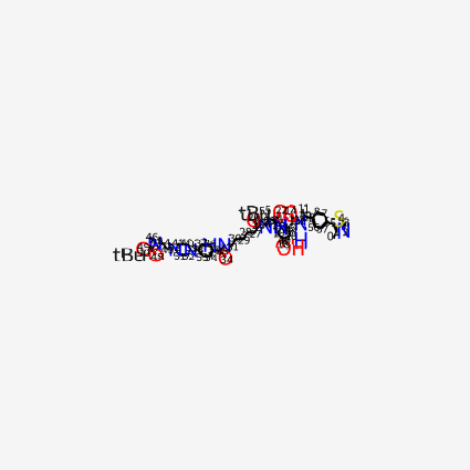 Cc1ncsc1-c1ccc([C@H](C)NC(=O)[C@@H]2C[C@@H](O)CN2C(=O)[C@@H](NC(=O)CCCCCNC(=O)c2ccc(N3CCN(CCN(C)C(=O)OC(C)(C)C)CC3)cc2)C(C)(C)C)cc1